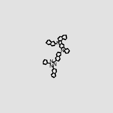 c1ccc(-c2nc(-c3ccc4ccccc4c3)nc(-c3ccc4cc(-n5c6ccccc6c6cc7c8c9ccccc9ccc8n(-c8ccc9ccccc9c8)c7cc65)ccc4c3)n2)cc1